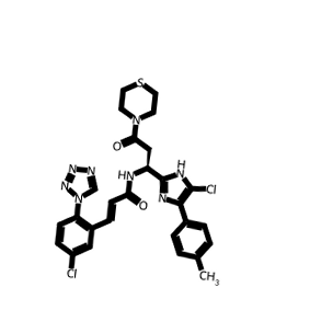 Cc1ccc(-c2nc([C@H](CC(=O)N3CCSCC3)NC(=O)/C=C/c3cc(Cl)ccc3-n3cnnn3)[nH]c2Cl)cc1